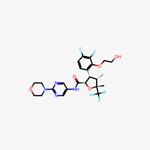 C[C@H]1[C@@H](c2ccc(F)c(F)c2OCCO)[C@H](C(=O)Nc2cnc(N3CCOCC3)nc2)O[C@@]1(C)C(F)(F)F